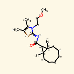 COCCn1c(C)c(C)sc1=NC(=O)C1[C@H]2CCCCCC[C@@H]12